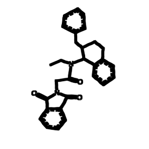 CCN(C(=O)CN1C(=O)c2ccccc2C1=O)C1c2ccccc2CCC1Cc1ccccc1